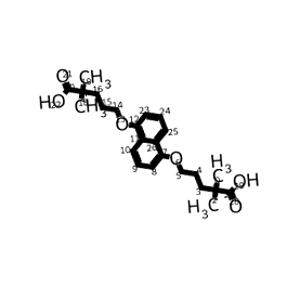 CC(C)(CCCOc1cccc2c(OCCCC(C)(C)C(=O)O)cccc12)C(=O)O